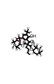 CCCCC(C(=O)OC1CCC(C)(C)N(C)C1(C)C)(C(=O)OC1CCC(C)(C)N(C)C1(C)C)C(=O)c1cc(C(C)(C)C)cc(C(C)(C)C)c1O